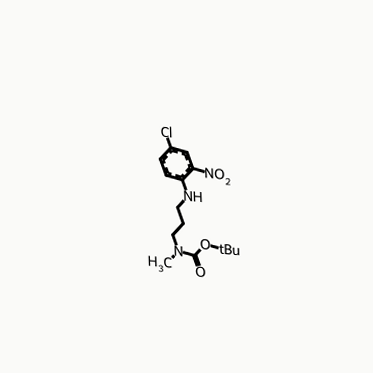 CN(CCCNc1ccc(Cl)cc1[N+](=O)[O-])C(=O)OC(C)(C)C